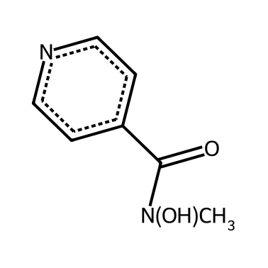 CN(O)C(=O)c1ccncc1